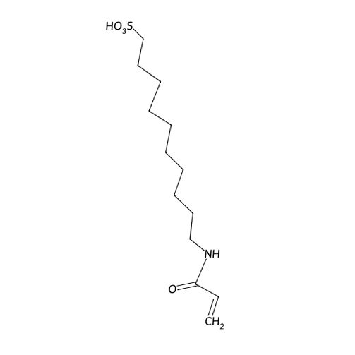 C=CC(=O)NCCCCCCCCCCS(=O)(=O)O